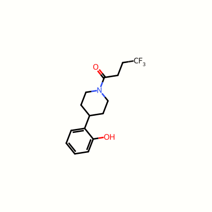 O=C(CCC(F)(F)F)N1CCC(c2ccccc2O)CC1